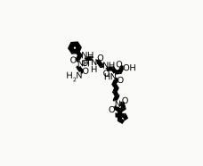 CCC(C)(CC)C1CC(=O)N(CCCCCC(=O)NC(CC(=O)O)CC(=O)NCC(=O)NCC(=O)N[C@H](C(=O)NCC(N)=O)c2ccccc2)C1=O